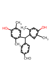 Cc1cc(C(c2ccc(C=O)cc2)c2cc(C)c(O)cc2C)c(C)cc1O